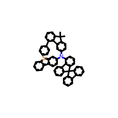 CC1(C)c2ccc(N(c3ccc4c(c3)sc3ccccc34)c3cccc4c3-c3ccccc3C43c4ccccc4-c4ccccc43)cc2-c2c(-c3ccccc3)cccc21